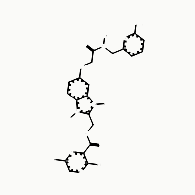 CCCN(Cc1cccc(C)n1)C(=O)COc1ccc2c(c1)n(CC)c(CNC(=O)c1nc(Cl)cnc1N)[n+]2CC